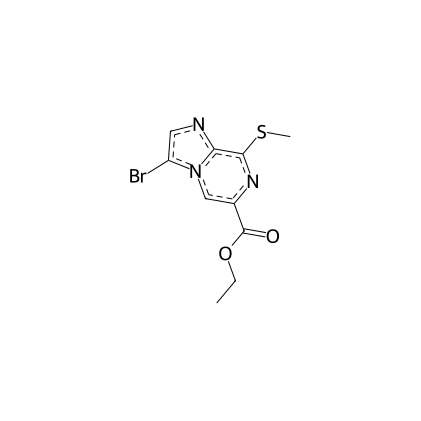 CCOC(=O)c1cn2c(Br)cnc2c(SC)n1